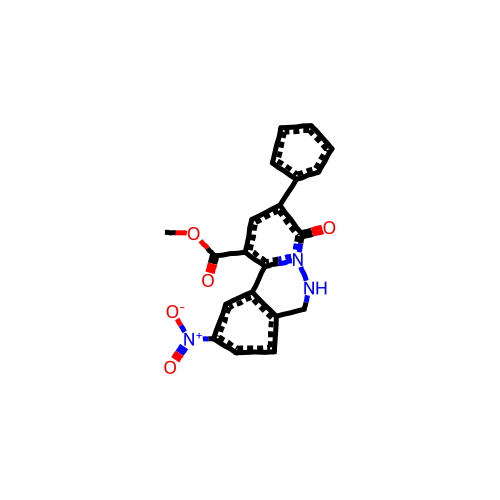 COC(=O)c1cc(-c2ccccc2)c(=O)n2c1-c1cc([N+](=O)[O-])ccc1CN2